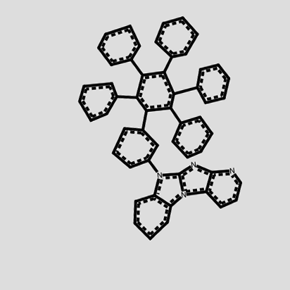 c1ccc(-c2c(-c3ccccc3)c(-c3ccccc3)c(-c3cccc(-n4c5ccccc5n5c6cccnc6nc45)c3)c(-c3ccccc3)c2-c2ccccc2)cc1